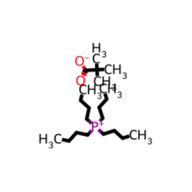 CC(C)(C)C(=O)[O-].CCCC[P+](CCCC)(CCCC)CCCC